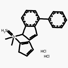 Cl.Cl.[CH3][Zr]([CH3])(=[SiH2])([C]1=CC=CC1)[CH]1C=Cc2c(-c3ccccc3)cccc21